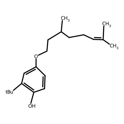 CC(C)=CCCC(C)CCOc1ccc(O)c(C(C)(C)C)c1